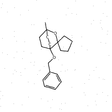 CC12CCC(OCc3ccccc3)(CC1)C1(CCCC1)O2